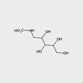 O=C(O)NCC(O)C(O)C(O)CO